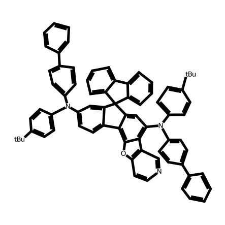 CC(C)(C)c1ccc(N(c2ccc(-c3ccccc3)cc2)c2ccc3c(c2)C2(c4ccccc4-c4ccccc42)c2cc(N(c4ccc(-c5ccccc5)cc4)c4ccc(C(C)(C)C)cc4)c4c(oc5ccncc54)c2-3)cc1